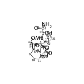 C#CCN1C[C@H](COC)[C@H]2CCC[C@@H](C1=O)N2S(=O)(=O)c1cccc(C(N)=O)c1